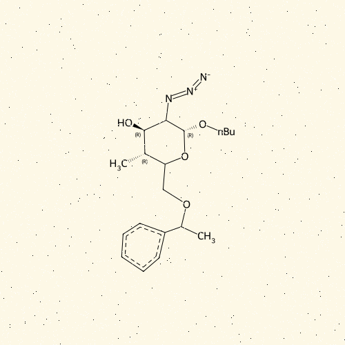 CCCCO[C@@H]1OC(COC(C)c2ccccc2)[C@H](C)[C@@H](O)C1N=[N+]=[N-]